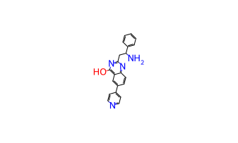 NC(Cc1nc(O)c2cc(-c3ccncc3)ccc2n1)c1ccccc1